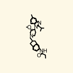 CCC(=O)Nc1ccc2c(c1)CC(CN1CCC(n3c(C(C)C)nc4cc(C)ccc43)[C@H](OC)C1)C2